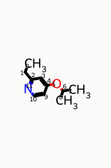 CCc1cc(OC(C)C)ccn1